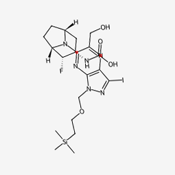 C[Si](C)(C)CCOCn1nc(I)c2nc(CO)c(N3[C@@H]4CC[C@H]3[C@@H](F)[C@@H](NC(=O)O)C4)nc21